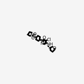 O=c1c(Cl)c(NC[C@H]2CCCOC2)cnn1C1CCC(S(=O)(=O)N2CCCC2)CC1